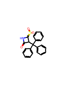 O=C1NC(=S(=O)=O)C1C(c1ccccc1)(c1ccccc1)c1ccccc1